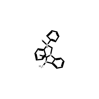 CN1c2ccccc2N(C[PH](I)(c2ccccc2)c2ccccc2)C1I